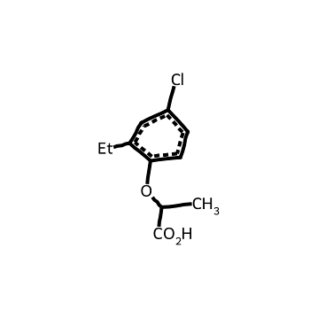 CCc1cc(Cl)ccc1OC(C)C(=O)O